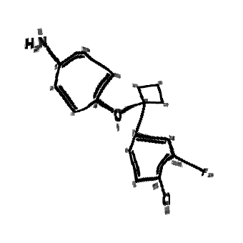 Nc1ccc(OC2(c3ccc(Cl)c(F)c3)CCC2)cc1